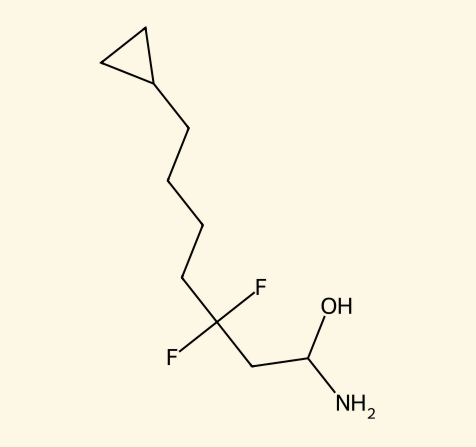 NC(O)CC(F)(F)CCCCC1CC1